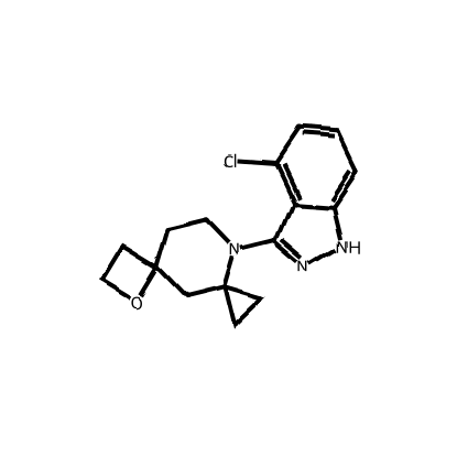 Clc1cccc2[nH]nc(N3CCC4(CCO4)CC34CC4)c12